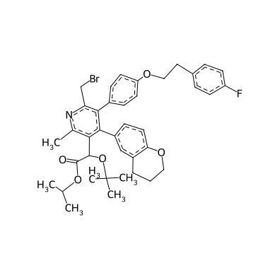 Cc1nc(CBr)c(-c2ccc(OCCc3ccc(F)cc3)cc2)c(-c2ccc3c(c2)CCCO3)c1C(OC(C)(C)C)C(=O)OC(C)C